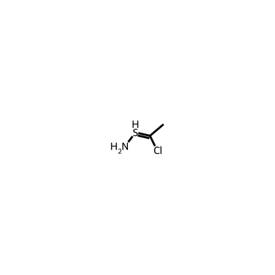 CC(Cl)=[SH]N